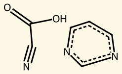 N#CC(=O)O.c1cncnc1